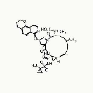 C[C@H]1CC/C=C\[C@@H]2C[C@@]2(C(=O)NS(=O)(=O)C2(C)CC2)NC(=O)[C@@H]2C[C@@H](Oc3nccc4c5c(ccc34)CCCO5)CN2C(=O)[C@@H](NC(=O)O)[C@H](C)C1